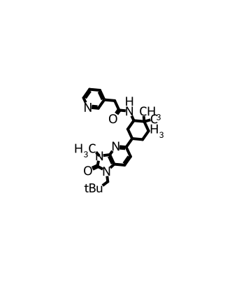 Cn1c(=O)n(CC(C)(C)C)c2ccc(C3CCC(C)(C)C(NC(=O)Cc4cccnc4)C3)nc21